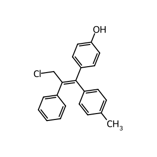 Cc1ccc(/C(=C(/CCl)c2ccccc2)c2ccc(O)cc2)cc1